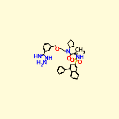 C[C@H](NS(=O)(=O)c1cc(-c2ccccc2)c2ccccc2c1)C(=O)N(CCOCc1cccc(C(=N)NN)c1)C1CCCC1